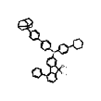 CC1(C)c2cc(N(c3ccc(-c4ccc(C56CC7CC(CC(C7)C5)C6)cc4)cc3)c3ccc(C4CCCCC4)cc3)ccc2-c2c(-c3ccccc3)cccc21